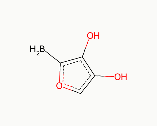 Bc1occ(O)c1O